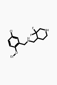 CCOc1ccc(Cl)cc1CNCC1CCNCC1(F)F